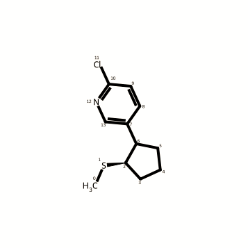 CS[C@@H]1CCCC1c1ccc(Cl)nc1